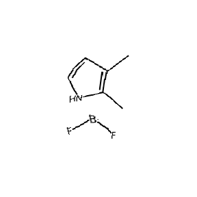 Cc1cc[nH]c1C.F[B]F